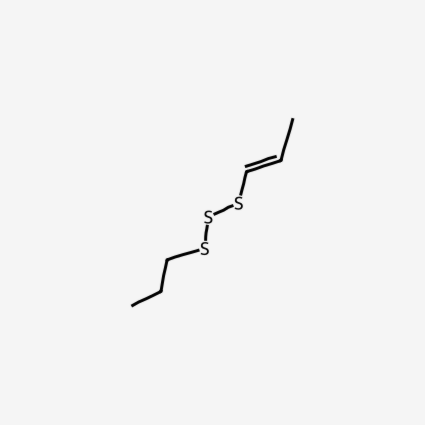 CC=CSSSCCC